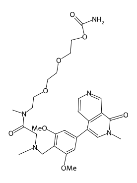 COc1cc(-c2cn(C)c(=O)c3cnccc23)cc(OC)c1CN(C)CC(=O)N(C)CCOCCOCCOC(N)=O